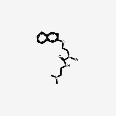 CC(C)N(CCOc1ccc2ccccc2c1)C(=O)NCCN(C)C